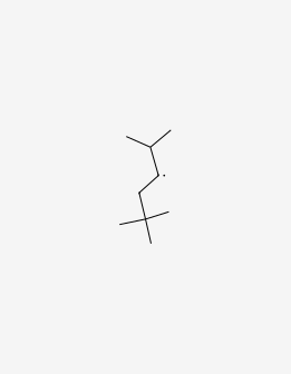 CC(C)[CH]CC(C)(C)C